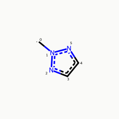 [CH2]n1nccn1